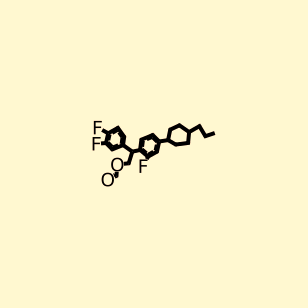 CCCC1CCC(c2ccc(C(COC=O)c3ccc(F)c(F)c3)c(F)c2)CC1